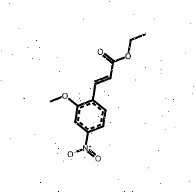 CCOC(=O)C=Cc1ccc([N+](=O)[O-])cc1OC